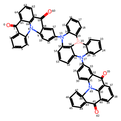 O=c1c2ccccc2n2c3ccc(N4c5ccccc5B5c6ccccc6N(c6ccc7c(c6)c(=O)c6cccc8c(=O)c9ccccc9n7c86)c6cccc4c65)cc3c(=O)c3cccc1c32